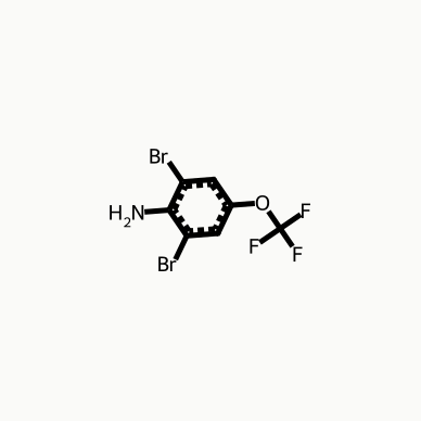 Nc1c(Br)cc(OC(F)(F)F)cc1Br